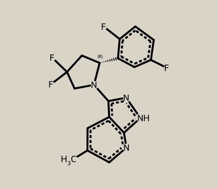 Cc1cnc2[nH]nc(N3CC(F)(F)C[C@@H]3c3cc(F)ccc3F)c2c1